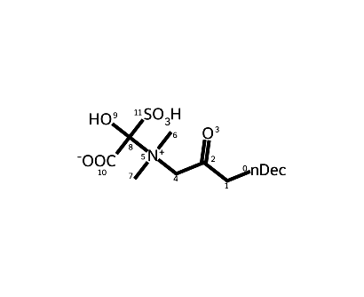 CCCCCCCCCCCC(=O)C[N+](C)(C)C(O)(C(=O)[O-])S(=O)(=O)O